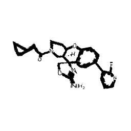 NC1=N[C@@]2(CO1)c1cc(-c3cccnc3F)ccc1OC1CCN(C(=O)CC3CC3)C[C@@H]12